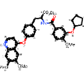 CCOC(=O)C(Cc1ccc(Oc2ccnc3cc(OC)c(OC)cc23)cc1)NC(=O)c1ccc(OC)c(OC2CCCC2)c1